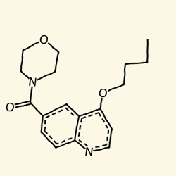 CCCCOc1ccnc2ccc(C(=O)N3CCOCC3)cc12